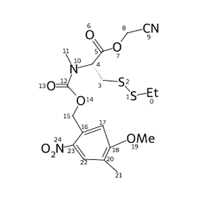 CCSSC[C@@H](C(=O)OCC#N)N(C)C(=O)OCc1cc(OC)c(C)cc1[N+](=O)[O-]